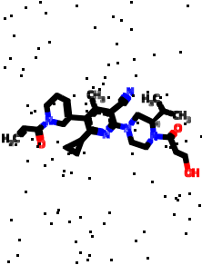 C=CC(=O)N1CCC=C(c2c(C3CC3)nc(N3CCN(C(=O)CCO)[C@H](C(C)C)C3)c(C#N)c2C)C1